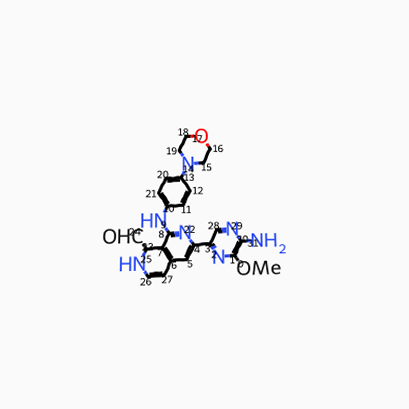 COc1nc(-c2cc3c(c(Nc4ccc(N5CCOCC5)cc4)n2)C(C=O)NC=C3)cnc1N